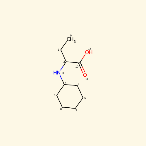 CCC(NC1CCCCC1)C(=O)O